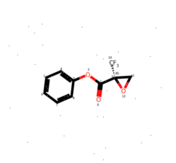 O=C(Oc1ccccc1)[C@@]1(C(F)(F)F)CO1